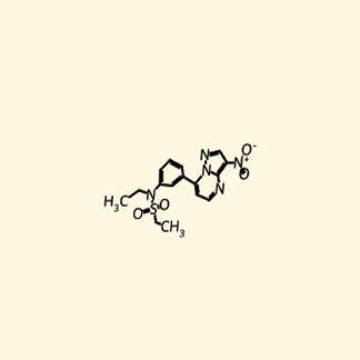 CCN(c1cccc(-c2ccnc3c([N+](=O)[O-])cnn23)c1)S(=O)(=O)CC